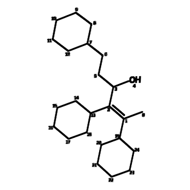 C/C(=C(\C(O)CCC1CCCCC1)C1CCCCC1)C1CCCCC1